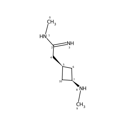 CNC(=N)C[C@H]1C[C@@H](NC)C1